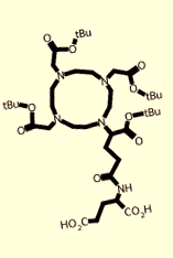 CC(C)(C)OC(=O)CN1CCN(CC(=O)OC(C)(C)C)CCN(C(CCC(=O)NC(CCC(=O)O)C(=O)O)C(=O)OC(C)(C)C)CCN(CC(=O)OC(C)(C)C)CC1